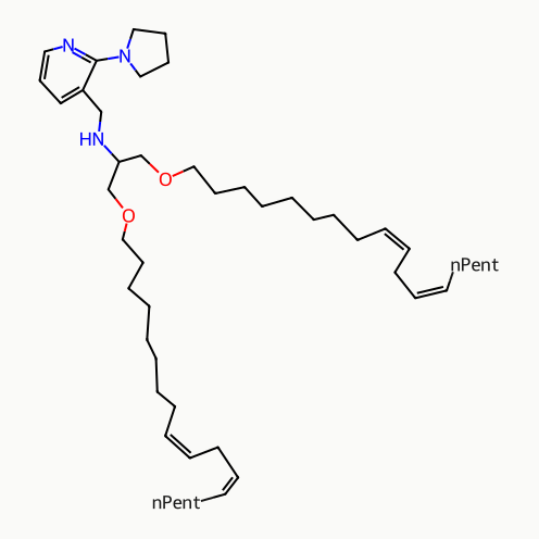 CCCCC/C=C\C/C=C\CCCCCCCCOCC(COCCCCCCCC/C=C\C/C=C\CCCCC)NCc1cccnc1N1CCCC1